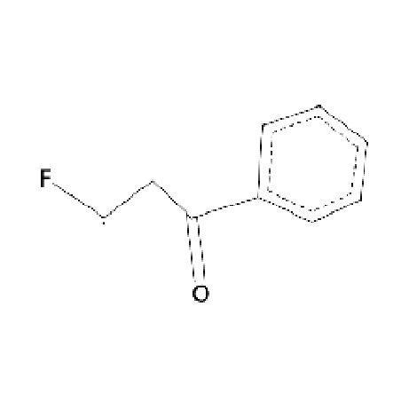 O=C(C[CH]F)c1ccccc1